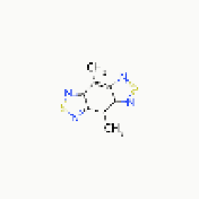 CC1=C2N=S=NC2C(C)c2nsnc21